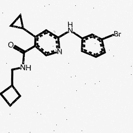 O=C(NCC1CCC1)c1cnc(Nc2cccc(Br)c2)cc1C1CC1